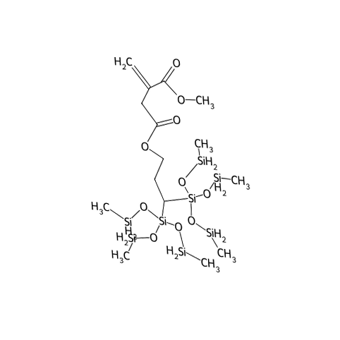 C=C(CC(=O)OCCC([Si](O[SiH2]C)(O[SiH2]C)O[SiH2]C)[Si](O[SiH2]C)(O[SiH2]C)O[SiH2]C)C(=O)OC